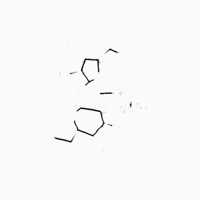 O=[N+]([O-])[O-].OC[C@H]1O[C@@](CO)(O[C@H]2O[C@H](CO)[C@@H](O)[C@H](O)[C@H]2O)[C@@H](O)[C@@H]1O.[Na+]